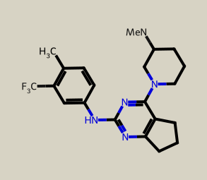 CNC1CCCN(c2nc(Nc3ccc(C)c(C(F)(F)F)c3)nc3c2CCC3)C1